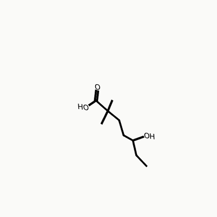 CCC(O)CCC(C)(C)C(=O)O